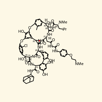 CNCCOc1ccc(NC(=O)NC(=O)C[C@@H]2NC(=O)[C@H](NC(=O)[C@@H](CC(C)C)NC)[C@H](O)c3ccc(c(C)c3)Oc3cc4cc(c3O)Oc3ccc(cc3Cl)[C@@H](O)[C@@H]3NC(=O)[C@H](NC(=O)[C@@H]4NC2=O)c2ccc(O)c(c2)-c2c(O)cc(O)cc2[C@@H](C(=O)NC2C4CC5CC(C4)CC2C5)NC3=O)cc1